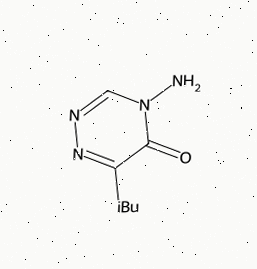 CCC(C)c1nncn(N)c1=O